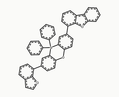 c1ccc([Si]2(c3ccccc3)c3cc(-c4cccc5ccoc45)ccc3Oc3ccc(-c4cccc5c4oc4ccccc45)cc32)cc1